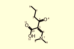 CCCC(=O)C(=CN(C)C)C(=O)O